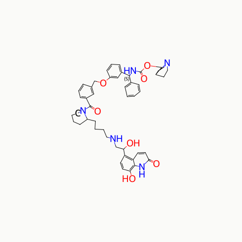 O=C(N[C@@H](c1ccccc1)c1cccc(OCc2cccc(C(=O)N3CCCCC3CCCCNCC(O)c3ccc(O)c4[nH]c(=O)ccc34)c2)c1)OC1CN2CCC1CC2